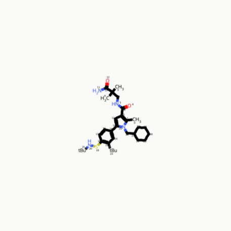 Cc1c(C(=O)NCC(C)(C)C(N)=O)cc(-c2ccc(SNC(C)(C)C)c(C(C)(C)C)c2)n1CC1CCCCC1